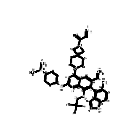 C=CC(=O)N1CC2(CCN(c3nc(O[C@H]4CC[C@@H](N(C)C)CC4)nc4c(OCC(F)(F)F)c(-c5c(C)ccc6[nH]ncc56)c(C=C)cc34)CC2)C1